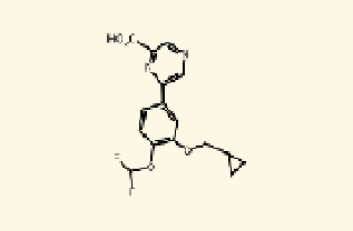 O=C(O)c1cncc(-c2ccc(OC(F)F)c(OCC3CC3)c2)n1